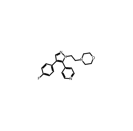 Fc1ccc(-c2cnn(CCN3CCOCC3)c2-c2ccncc2)cc1